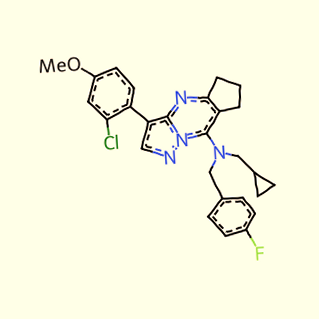 COc1ccc(-c2cnn3c(N(Cc4ccc(F)cc4)CC4CC4)c4c(nc23)CCC4)c(Cl)c1